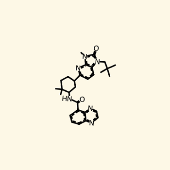 Cn1c(=O)n(CC(C)(C)C)c2ccc(C3CCC(C)(C)C(NC(=O)c4cccc5nccnc45)C3)nc21